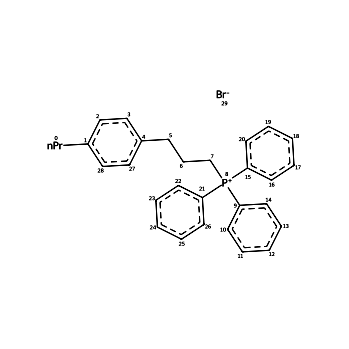 CCCc1ccc(CCC[P+](c2ccccc2)(c2ccccc2)c2ccccc2)cc1.[Br-]